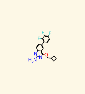 Nc1nc(OCC2CCC2)c2cc(-c3ccc(F)c(F)c3F)ccc2n1